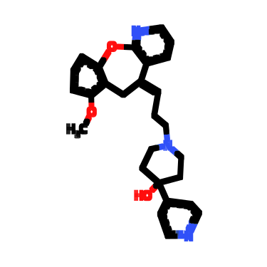 COc1cccc2c1CC(=CCCN1CCC(O)(c3ccncc3)CC1)c1cccnc1O2